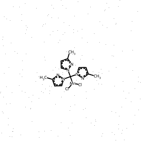 Cc1ccn([C](n2ccc(C)n2)(n2ccc(C)n2)[Mn]([Cl])[Cl])n1